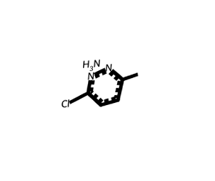 Cc1ccc(Cl)nn1.N